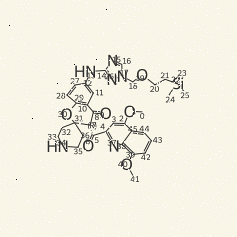 COc1cc(C(=O)[C@H]2C(=O)c3cc(Nc4ncn(COCC[Si](C)(C)C)n4)ccc3OC23CCNCC3)nc2c(OC)cccc12